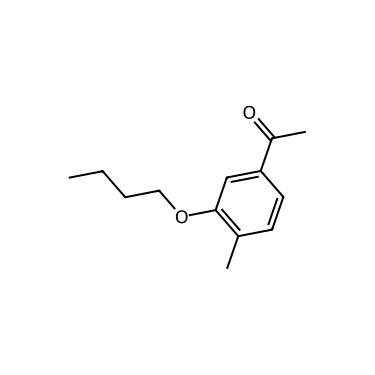 CCCCOc1cc(C(C)=O)ccc1C